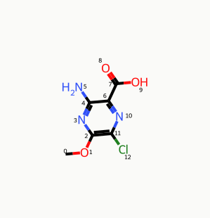 COc1nc(N)c(C(=O)O)nc1Cl